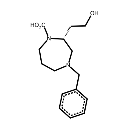 O=C(O)N1CCCN(Cc2ccccc2)C[C@H]1CCO